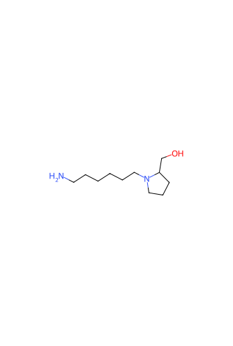 NCCCCCCN1CCCC1CO